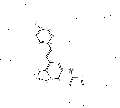 C=CC(=O)Nc1cc(C=Cc2ccc(Cl)cc2)c2c(c1)CCO2